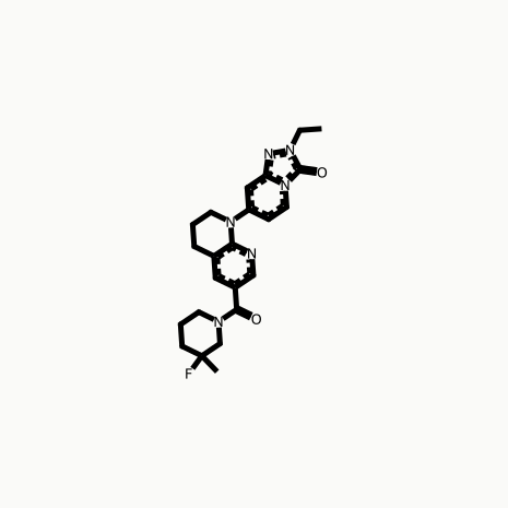 CCn1nc2cc(N3CCCc4cc(C(=O)N5CCCC(C)(F)C5)cnc43)ccn2c1=O